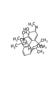 C/N=C1/C=C(C(C)(C)C)C(c2c(C(C)C)cccc2C(C)C)=C(C(C)(C)C)C1O